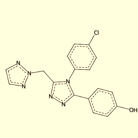 Oc1ccc(-c2nnc(Cn3nccn3)n2-c2ccc(Cl)cc2)cc1